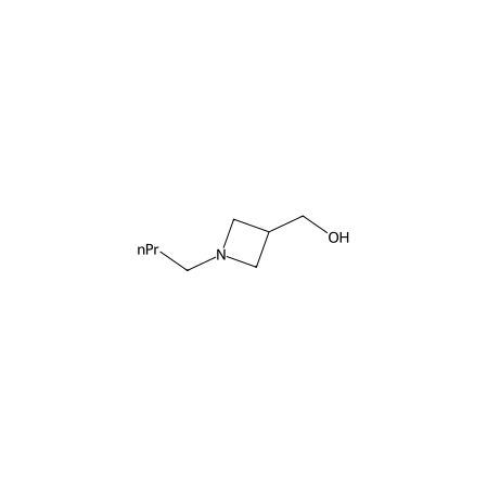 CCCCN1CC(CO)C1